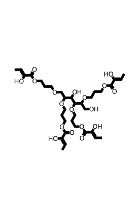 CC=C(O)C(=O)OCCCOCC(OCCCOC(=O)C(O)=CC)C(O)C(OCCCOC(=O)C(O)=CC)C(CO)OCCCOC(=O)C(O)=CC